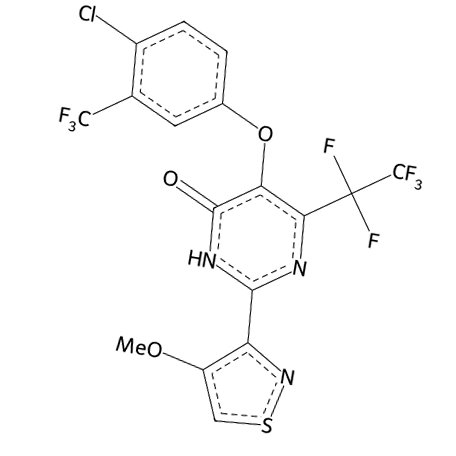 COc1csnc1-c1nc(C(F)(F)C(F)(F)F)c(Oc2ccc(Cl)c(C(F)(F)F)c2)c(=O)[nH]1